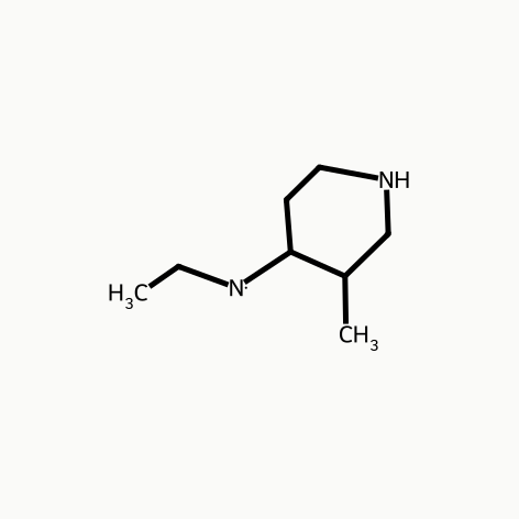 CC[N]C1CCNCC1C